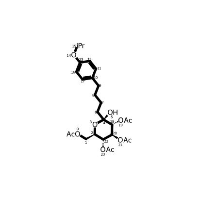 CC(=O)OC[C@H]1O[C@](O)(CCCCc2ccc(OC(C)C)cc2)[C@H](OC(C)=O)[C@@H](OC(C)=O)[C@@H]1OC(C)=O